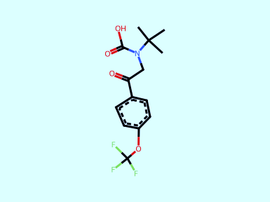 CC(C)(C)N(CC(=O)c1ccc(OC(F)(F)F)cc1)C(=O)O